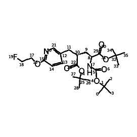 CC(C)(C)OC(=O)N[C@@H](C[C@H](Cc1ccc(OCCF)nc1)C(=O)OC(C)(C)C)C(=O)OC(C)(C)C